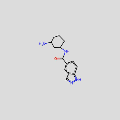 NC1CCCC(NC(=O)c2ccc3[nH]ncc3c2)C1